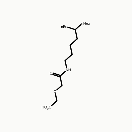 CCCCCCC(CCCC)CCCCNC(=O)COCC(=O)O